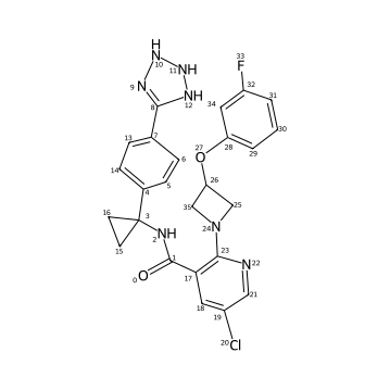 O=C(NC1(c2ccc(C3=NNNN3)cc2)CC1)c1cc(Cl)cnc1N1CC(Oc2cccc(F)c2)C1